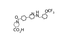 O=C(O)C1CCN(C(=O)c2ccc(-c3ccc(NCc4cccc(OC(F)(F)F)c4)nc3)cc2)CC1